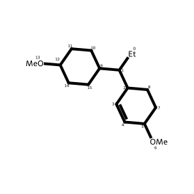 CCC(C1C=CC(OC)CC1)C1CCC(OC)CC1